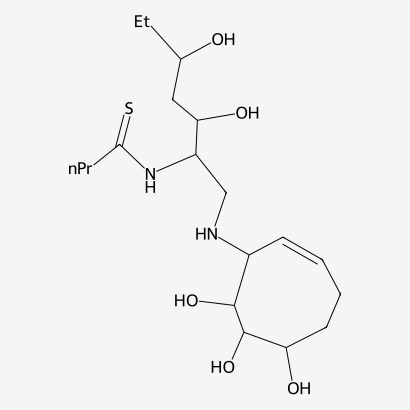 CCCC(=S)NC(CNC1/C=C\CCC(O)C(O)C1O)C(O)CC(O)CC